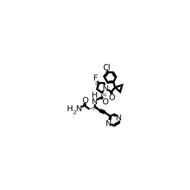 NC(=O)C[C@@H](C#Cc1cnccn1)NC(=O)[C@@H]1C[C@@H](F)CN1C(=O)C1(c2ccc(Cl)cc2)CC1